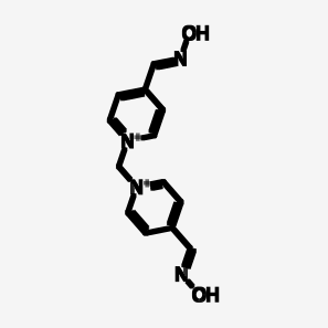 ON=Cc1cc[n+](C[n+]2ccc(C=NO)cc2)cc1